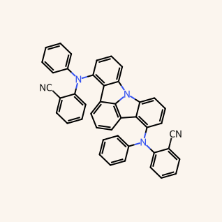 N#Cc1ccccc1N(c1ccccc1)c1cccc2c1c1cccc3c4c(N(c5ccccc5)c5ccccc5C#N)cccc4n2c13